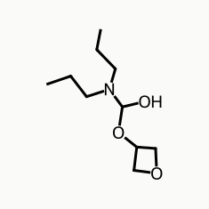 CCCN(CCC)C(O)OC1COC1